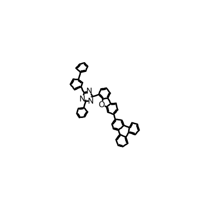 c1ccc(-c2cccc(-c3nc(-c4ccccc4)nc(-c4cccc5c4oc4cc(-c6ccc7c8ccccc8c8ccccc8c7c6)ccc45)n3)c2)cc1